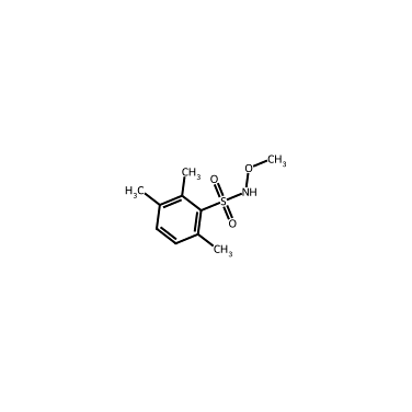 CONS(=O)(=O)c1c(C)ccc(C)c1C